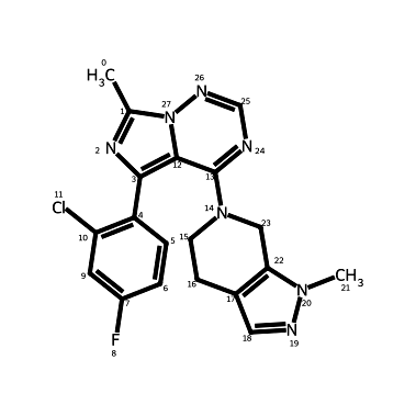 Cc1nc(-c2ccc(F)cc2Cl)c2c(N3CCc4cnn(C)c4C3)ncnn12